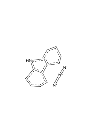 [N-]=[N+]=[N-].c1ccc2c(c1)[nH]c1ccccc12